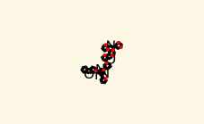 c1ccc(-c2nc(-c3cccc(-c4cccc5c4oc4ccc6c(-c7ccccc7)nc7ccccc7c6c45)c3)nc(-c3ccc4c(c3)oc3ccccc34)n2)cc1